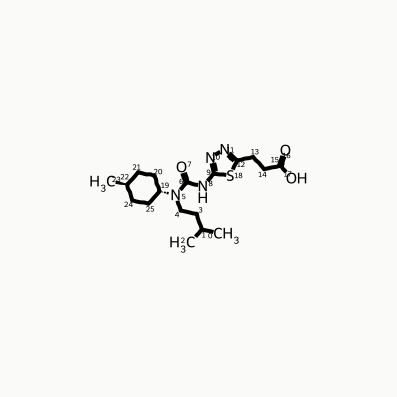 CC(C)CCN(C(=O)Nc1nnc(CCC(=O)O)s1)[C@H]1CC[C@H](C)CC1